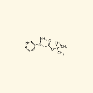 CC(C)(C)OC(=O)C[C@H](N)c1cccnc1